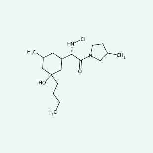 CCCCC1(O)CC(C)CC([C@H](NCl)C(=O)N2CCC(C)C2)C1